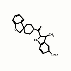 COc1ccc2c(c1)C(C)C(C(=O)N1CCC3(CC1)COc1ccccc13)N2